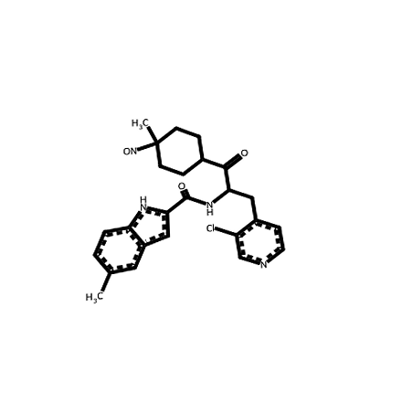 Cc1ccc2[nH]c(C(=O)NC(Cc3ccncc3Cl)C(=O)C3CCC(C)(N=O)CC3)cc2c1